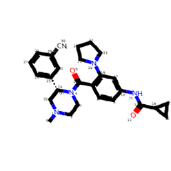 CN1CCN(C(=O)c2ccc(NC(=O)C3CC3)cc2N2CCCC2)[C@@H](c2cccc(C#N)c2)C1